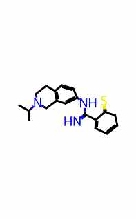 CC(C)N1CCc2ccc(NC(=N)C3=CC=CCC3=S)cc2C1